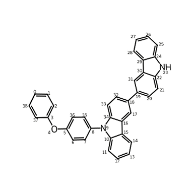 c1ccc(Oc2ccc(-n3c4ccccc4c4cc(-c5ccc6[nH]c7ccccc7c6c5)ccc43)cc2)cc1